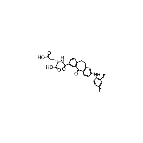 O=C(O)CC[C@H](NC(=O)c1ccc2c(c1)C(=O)c1ccc(Nc3ccc(F)cc3F)cc1CC2)C(=O)O